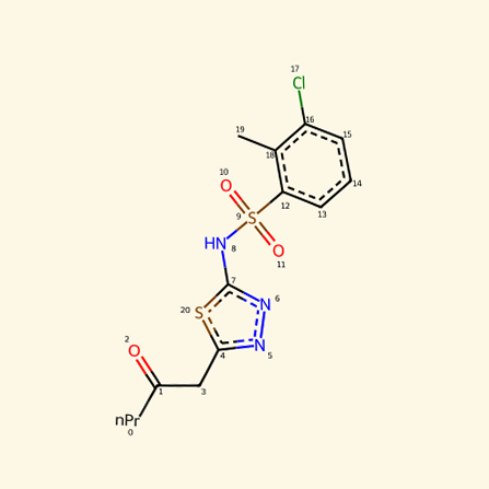 CCCC(=O)Cc1nnc(NS(=O)(=O)c2cccc(Cl)c2C)s1